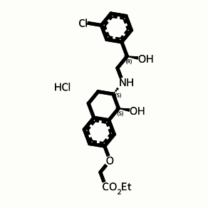 CCOC(=O)COc1ccc2c(c1)[C@H](O)[C@@H](NC[C@H](O)c1cccc(Cl)c1)CC2.Cl